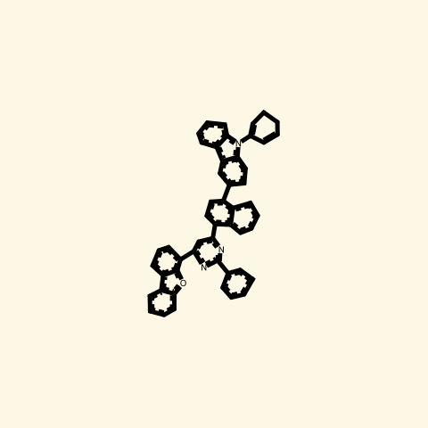 C1=CC(n2c3ccccc3c3cc(-c4ccc(-c5cc(-c6cccc7c6oc6ccccc67)nc(-c6ccccc6)n5)c5ccccc45)ccc32)=CCC1